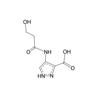 O=C(CCO)Nc1c[nH]nc1C(=O)O